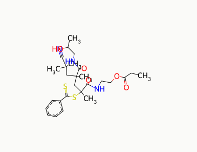 CCC(=O)OCCNC(=O)C(C)(CC(C)(CC(C)(C)C#N)C(=O)NCC(C)O)SC(=S)c1ccccc1